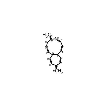 C=C1C=CC2/C=C\C=N/C(=C)C/N=C\C2C=C1